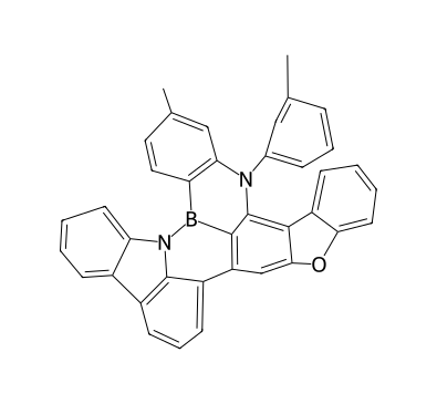 Cc1cccc(N2c3cc(C)ccc3B3c4c(cc5oc6ccccc6c5c42)-c2cccc4c5ccccc5n3c24)c1